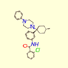 C[C@H]1CC[C@](c2cccc(NC(=O)c3ccccc3Cl)c2)(N2CCN(c3ccccc3)CC2)CC1